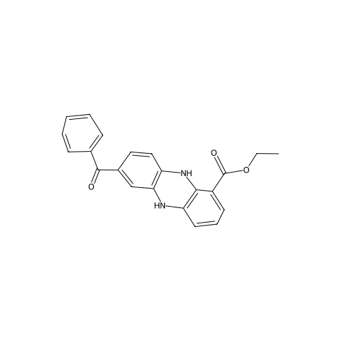 CCOC(=O)c1cccc2c1Nc1ccc(C(=O)c3ccccc3)cc1N2